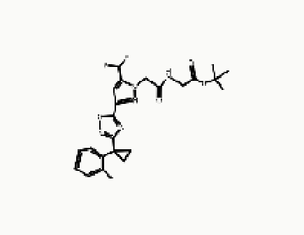 Cc1ccccc1C1(c2noc(-c3cc(C(F)F)n(CC(=O)NCC(=O)OC(C)(C)C)n3)n2)CC1